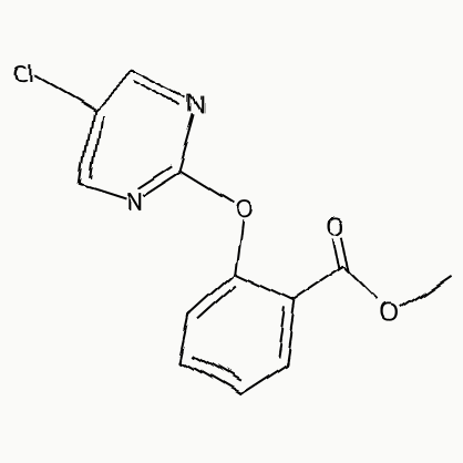 COC(=O)c1ccccc1Oc1ncc(Cl)cn1